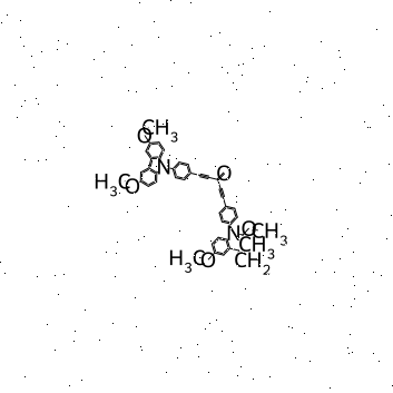 C=Cc1cc(OC)ccc1N(c1ccc(C#CC(=O)C#Cc2ccc(-n3c4ccc(OC)cc4c4cc(OC)ccc43)cc2)cc1)C(C)OC